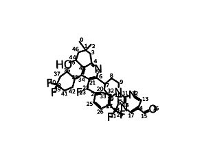 CC1(C)Cc2nc(C3CCN(c4ncc(C=O)cn4)CC3)c([C@@H](F)c3ccc(C(F)(F)F)cc3)c(C3CCC(F)(F)CC3)c2[C@@H](O)C1